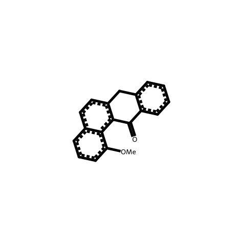 COc1cccc2ccc3c(c12)C(=O)c1ccccc1C3